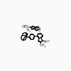 CC1=C2C3=CN=CC3=C1[Si]2(C)C.CC1=Cc2c(-c3ccc(C45CC6CC(CC(C6)C4)C5)cc3)cccc2[CH]1[Zr+2].[Cl-].[Cl-]